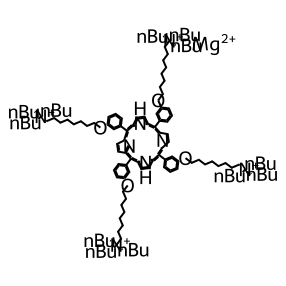 CCCC[N+](CCCC)(CCCC)CCCCCCCCOc1cccc(-c2c3nc(c(-c4cccc(OCCCCCCCC[N+](CCCC)(CCCC)CCCC)c4)c4ccc([nH]4)c(-c4cccc(OCCCCCCCC[N+](CCCC)(CCCC)CCCC)c4)c4nc(c(-c5cccc(OCCCCCCCC[N+](CCCC)(CCCC)CCCC)c5)c5ccc2[nH]5)C=C4)C=C3)c1.[Mg+2]